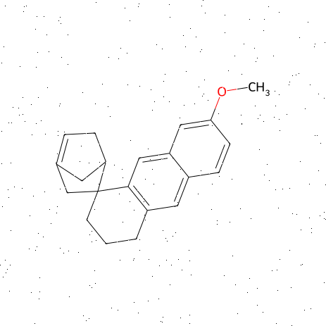 COc1ccc2cc3c(cc2c1)C1(CCC3)CC2=CCC1C2